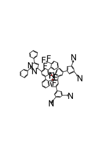 N#Cc1cc(C#N)cc(-c2ccc3c(c2)c2cc(-c4cc(C#N)cc(C#N)c4)ccc2n3-c2c(-c3ccccc3C(F)(F)F)cc(-c3cc(-c4ccccc4)nc(-c4ccccc4)n3)cc2-c2ccccc2C(F)(F)F)c1